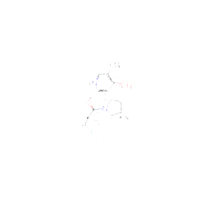 C[C@@H]1C[C@@H](c2cncc(C#N)c2O)N(C(=O)C(C)(C)CF)C1